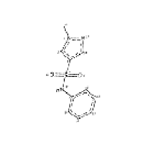 Cn1cc(S(=O)(=O)Nc2ccccc2)cn1